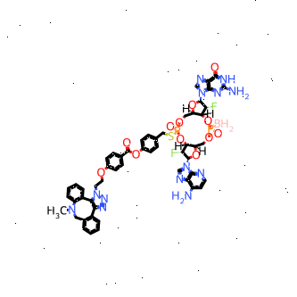 B[P@@]1(=O)OC[C@H]2O[C@@H](n3cnc4c(N)ccnc43)[C@H](F)[C@@H]2O[P@](=O)(SCc2ccc(OC(=O)c3ccc(OCCn4nnc5c4-c4ccccc4N(C)Cc4ccccc4-5)cc3)cc2)OC[C@H]2O[C@@H](n3cnc4c(=O)[nH]c(N)nc43)[C@H](F)[C@@H]2O1